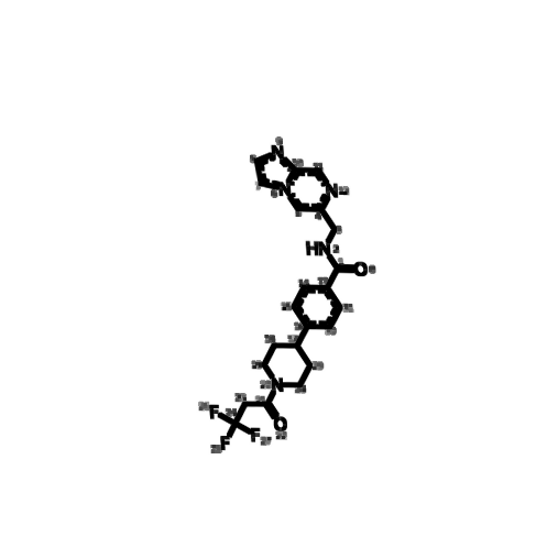 O=C(NCc1cn2ccnc2cn1)c1ccc(C2CCN(C(=O)CC(F)(F)F)CC2)cc1